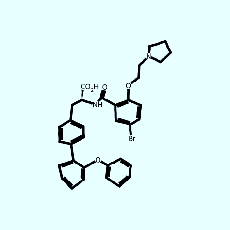 O=C(N[C@@H](Cc1ccc(-c2ccccc2Oc2ccccc2)cc1)C(=O)O)c1cc(Br)ccc1OCCN1CCCC1